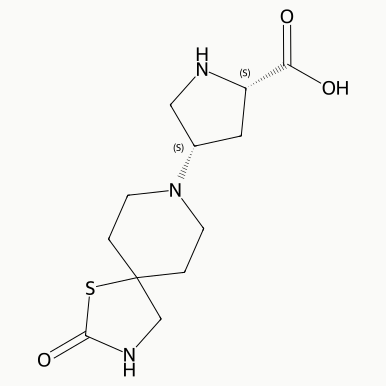 O=C1NCC2(CCN([C@@H]3CN[C@H](C(=O)O)C3)CC2)S1